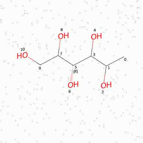 CC(O)C(O)[C@H](O)C(O)CO